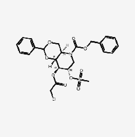 CS(=O)(=O)O[C@H]1CN(C(=O)OCc2ccccc2)[C@@H]2COC(c3ccccc3)O[C@H]2[C@@H]1OC(=O)CCl